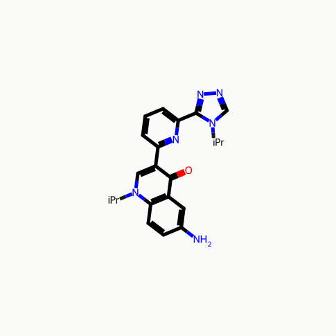 CC(C)n1cnnc1-c1cccc(-c2cn(C(C)C)c3ccc(N)cc3c2=O)n1